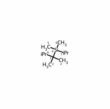 CC(C)C(C)(C)[Si](C)(C)C(C)C